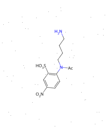 CC(=O)N(CCCCN)c1ccc([N+](=O)[O-])cc1S(=O)(=O)O